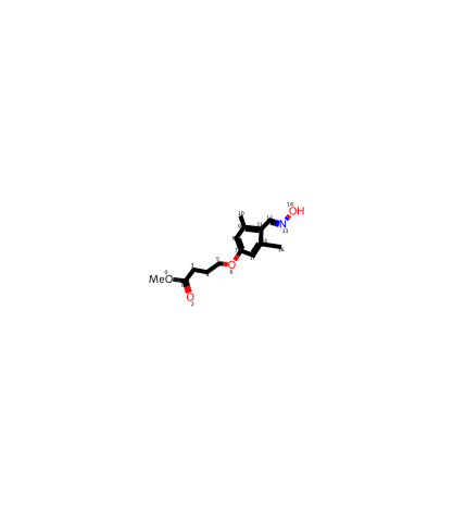 COC(=O)CCCOc1cc(C)c(C=NO)c(C)c1